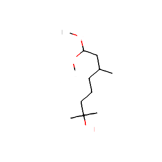 CCOC(CC(C)CCCC(C)(C)O)OCC.[OH]